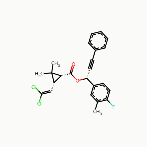 Cc1cc([C@@H](C#Cc2ccccc2)OC(=O)[C@@H]2[C@H](C=C(Cl)Cl)C2(C)C)ccc1F